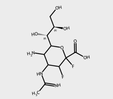 CC(=N)NC1C(N)C([C@H](O)[C@H](O)CO)OC(F)(C(=O)O)C1F